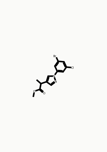 COC(=O)C(C)c1cnn(-c2cc(Cl)cc(Br)c2)c1